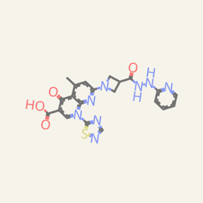 Cc1cc(N2CC(C(=O)NNc3ccccn3)C2)nc2c1c(=O)c(C(=O)O)cn2-c1ncns1